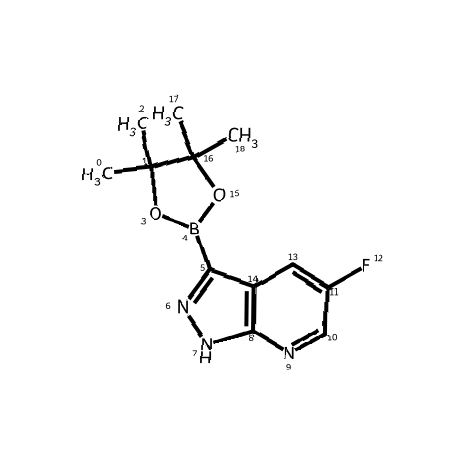 CC1(C)OB(c2n[nH]c3ncc(F)cc23)OC1(C)C